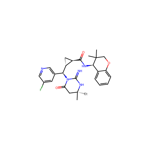 CC[C@]1(C)CC(=O)N([C@@H](c2cncc(F)c2)[C@@H]2C[C@H]2C(=O)N[C@@H]2c3ccccc3OCC2(C)C)C(=N)N1